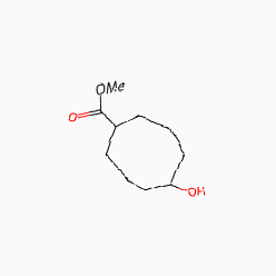 COC(=O)C1CCCC(O)CCC1